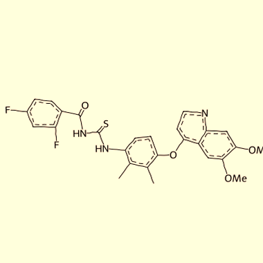 COc1cc2nccc(Oc3ccc(NC(=S)NC(=O)c4ccc(F)cc4F)c(C)c3C)c2cc1OC